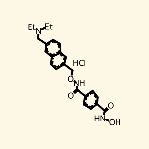 CCN(CC)Cc1ccc2cc(CONC(=O)c3ccc(C(=O)NO)cc3)ccc2c1.Cl